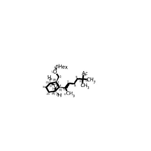 CCCCCCOC[C@H]1[C@@H](C(C)=CCCC(C)(C)C(C)=O)[C@H]2CC[C@@H]1O2